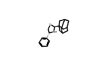 c1ccc([C@@H]2COC(C34CC5CC(CC(C5)C3)C4)N2)cc1